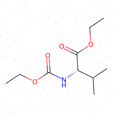 CCOC(=O)N[C@H](C(=O)OCC)C(C)C